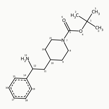 CC(C)(C)OC(=O)N1CCC(CC(N)c2ccccc2)CC1